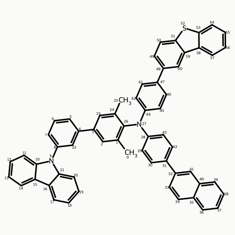 Cc1cc(-c2cccc(-n3c4ccccc4c4ccccc43)c2)cc(C)c1N(c1ccc(-c2ccc3ccccc3c2)cc1)c1ccc(-c2ccc3sc4ccccc4c3c2)cc1